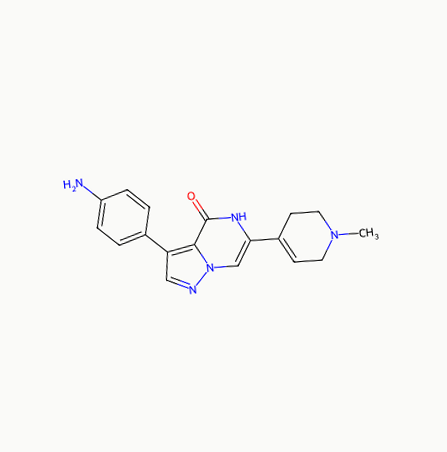 CN1CC=C(c2cn3ncc(-c4ccc(N)cc4)c3c(=O)[nH]2)CC1